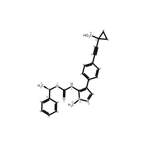 C[C@@H](OC(=O)Nc1c(-c2ccc(C#CC3(C(=O)O)CC3)cc2)cnn1C)c1ccccc1